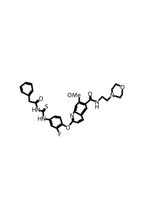 COc1cc2nc(Oc3ccc(NC(=S)NC(=O)Cc4ccccc4)cc3F)ccc2cc1C(=O)NCCN1CCOCC1